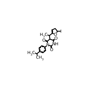 CC(C)c1ccc(N2C(=O)NC(=O)C(C(C)C3=CCC(I)O3)C2=O)cc1